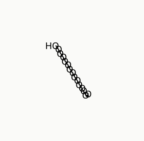 CC1(C)OCC(COCOCCOCCOCCOCCOCCOCCOCCOCCOCCOCCOCCO)O1